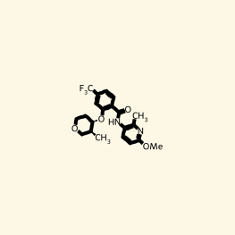 COc1ccc(NC(=O)c2ccc(C(F)(F)F)cc2O[C@H]2CCOC[C@@H]2C)c(C)n1